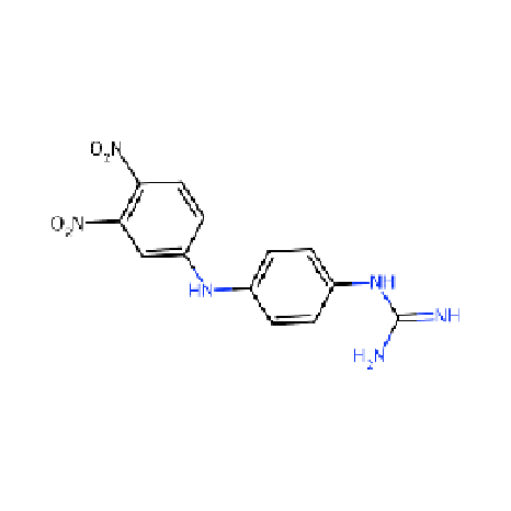 N=C(N)Nc1ccc(Nc2ccc([N+](=O)[O-])c([N+](=O)[O-])c2)cc1